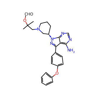 CC(C)(CN1CCC[C@@H](n2nc(-c3ccc(Oc4ccccc4)cc3)c3c(N)ncnc32)C1)OC=O